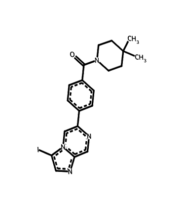 CC1(C)CCN(C(=O)c2ccc(-c3cn4c(I)cnc4cn3)cc2)CC1